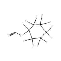 O=COC1(F)C(F)(F)C(F)(F)C(F)(F)C(F)(F)C1(F)F